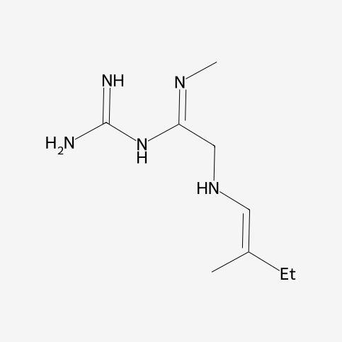 CC/C(C)=C/NC/C(=N\C)NC(=N)N